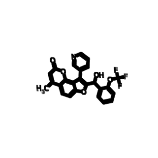 Cc1cc(=O)oc2c1ccc1oc(C(O)c3ccccc3OC(F)(F)F)c(-c3cccnc3)c12